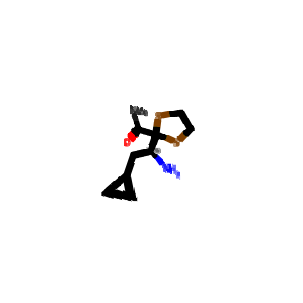 CNC(=O)C1([C@@H](N)CC2CC2)SCCS1